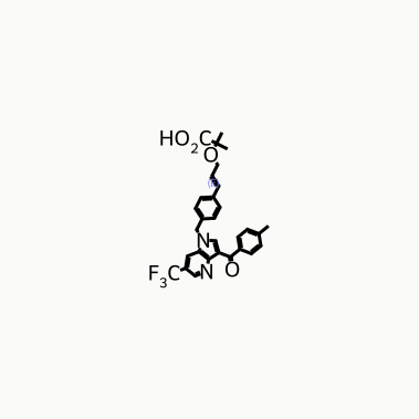 Cc1ccc(C(=O)c2cn(Cc3ccc(/C=C/COC(C)(C)C(=O)O)cc3)c3cc(C(F)(F)F)cnc23)cc1